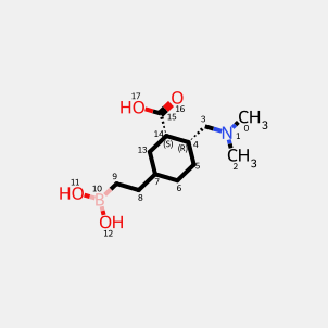 CN(C)C[C@@H]1CCC(CCB(O)O)C[C@@H]1C(=O)O